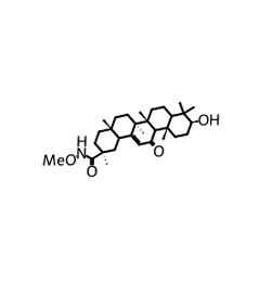 CONC(=O)[C@@]1(C)CC[C@]2(C)CC[C@]3(C)C(=CC(=O)C4[C@@]5(C)CC[C@H](O)C(C)(C)C5CC[C@]43C)C2C1